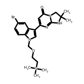 CC1(C)Cn2c(nc(-c3cn(COCC[Si](C)(C)C)c4ccc(Br)cc34)cc2=O)N1